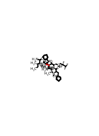 CC[C@H](C)[C@@H](C(N)=O)N(C)C(=O)[C@](C)(Cc1ccccc1)N(C)C(=O)[C@@H](COCC(F)(F)C(F)F)NC(=C=O)C(Cc1ccccc1)N(C)N(C)C(=O)C(N)CC(C)C